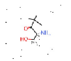 C[C@H](O)[C@@H](N)C(=O)C(C)(C)C